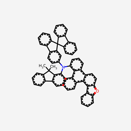 CC1(C)c2ccccc2-c2cccc(N(c3ccc4c(c3)C3(c5ccccc5-c5ccccc53)c3ccccc3-4)c3cccc4c5ccc6oc7ccccc7c6c5c5ccccc5c34)c21